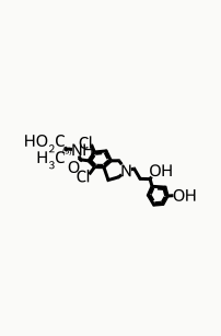 C[C@H](NC(=O)c1c(Cl)cc2c(c1Cl)CCN(CCC(O)c1cccc(O)c1)C2)C(=O)O